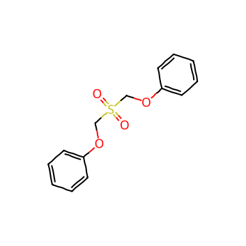 O=S(=O)(COc1ccccc1)COc1ccccc1